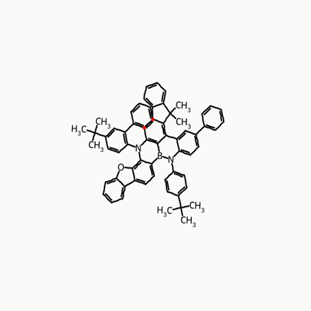 CC(C)(C)c1ccc(N2B3c4ccc5c(oc6ccccc65)c4N(c4ccc(C(C)(C)C)cc4-c4ccccc4)c4cc5c(c(c43)-c3cc(-c4ccccc4)ccc32)C(C)(C)c2ccccc2-5)cc1